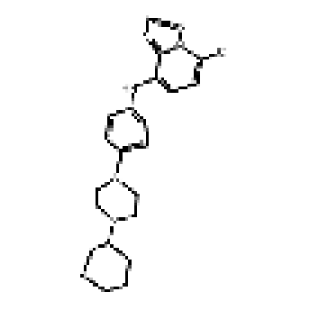 Clc1ccc(Nc2ccc(N3CCN(C4CCCCC4)CC3)cc2)c2ncnn12